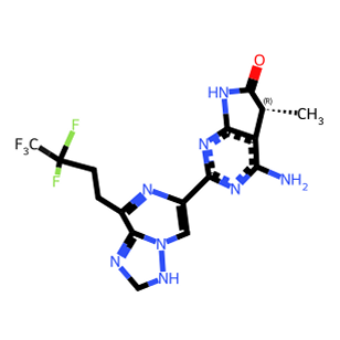 C[C@H]1C(=O)Nc2nc(C3=CN4NCN=C4C(CCC(F)(F)C(F)(F)F)=N3)nc(N)c21